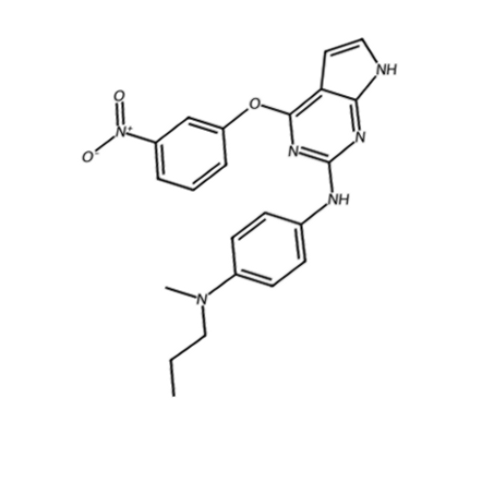 CCCN(C)c1ccc(Nc2nc(Oc3cccc([N+](=O)[O-])c3)c3cc[nH]c3n2)cc1